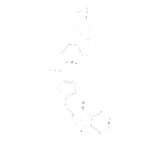 O=S(=O)(CC1CC1)c1ccc(C(CO)c2nc3c(Cl)c(-c4ccccc4C(F)(F)F)c(Cl)cc3[nH]2)cc1